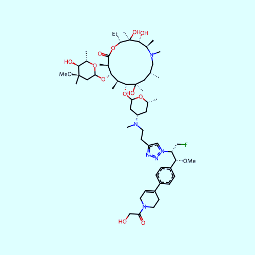 CC[C@H]1OC(=O)[C@H](C)[C@@H](OC2C[C@@](C)(OC)[C@@H](O)[C@H](C)O2)[C@H](C)[C@@H](OC2C[C@@H](N(C)CCc3cn([C@H](CF)[C@H](OC)c4ccc(C5=CCN(C(=O)CO)CC5)cc4)nn3)C[C@@H](C)O2)[C@](C)(O)C[C@@H](C)CN(C)[C@H](C)[C@@H](O)[C@]1(C)O